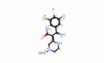 N=C(/C(C(N)=O)=C1/CN(C=O)CCN1)c1cc(Cl)c(F)c(Cl)c1